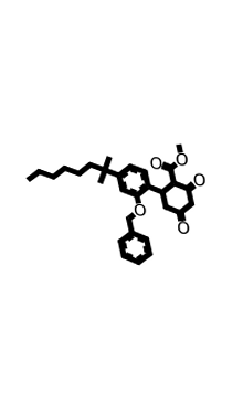 CCCCCCC(C)(C)c1ccc(C2CC(=O)CC(=O)C2C(=O)OC)c(OCc2ccccc2)c1